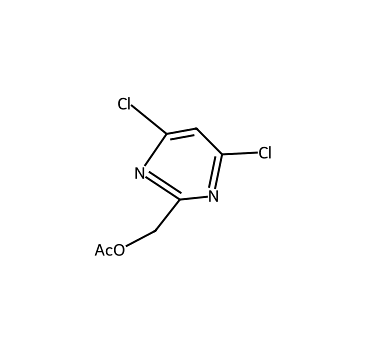 CC(=O)OCc1nc(Cl)cc(Cl)n1